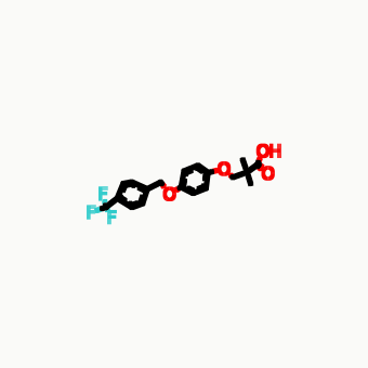 CC(C)(COc1ccc(OCc2ccc(C(F)(F)F)cc2)cc1)C(=O)O